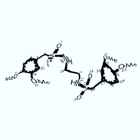 COc1ccc(CS(=O)(=O)NCCNS(=O)(=O)Cc2ccc(OC)c(OC)c2)cc1OC